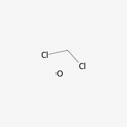 ClCCl.[O]